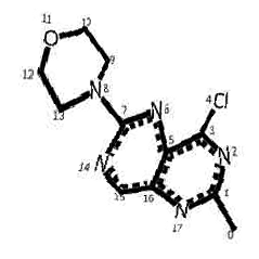 Cc1nc(Cl)c2nc(N3CCOCC3)ncc2n1